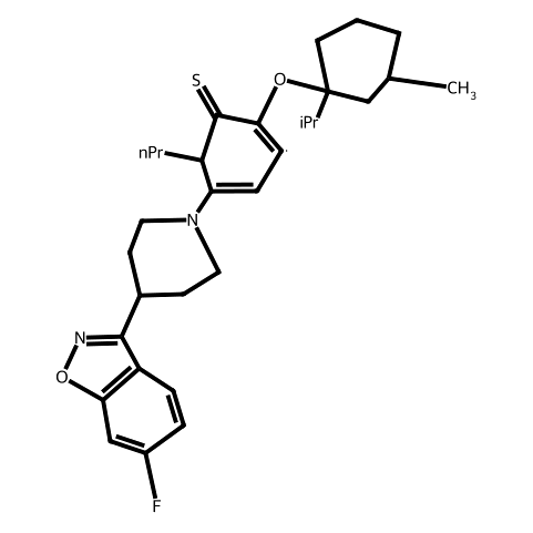 CCCC1C(=S)C(OC2(C(C)C)CCCC(C)C2)=[C]C=C1N1CCC(c2noc3cc(F)ccc23)CC1